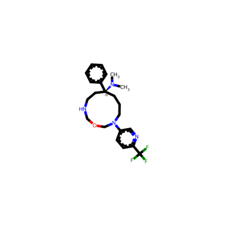 CN(C)[C@@]1(c2ccccc2)CCCN(c2ccc(C(F)(F)F)nc2)COCNCC1